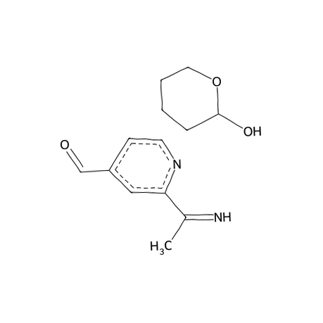 CC(=N)c1cc(C=O)ccn1.OC1CCCCO1